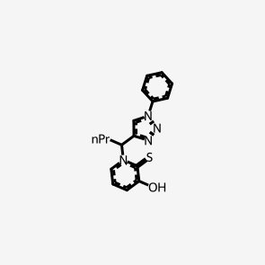 CCCC(c1cn(-c2ccccc2)nn1)n1cccc(O)c1=S